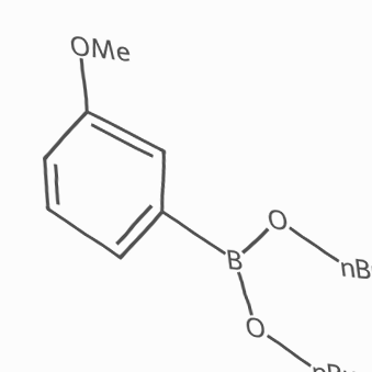 CCCCOB(OCCCC)c1cccc(OC)c1